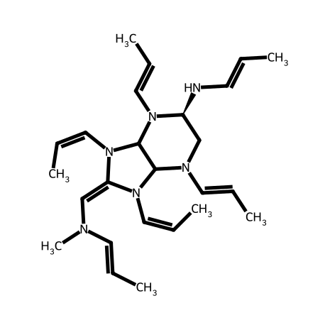 CC=CN[C@H]1CN(/C=C/C)C2C(N(/C=C\C)/C(=C/N(C)C=CC)N2/C=C\C)N1/C=C/C